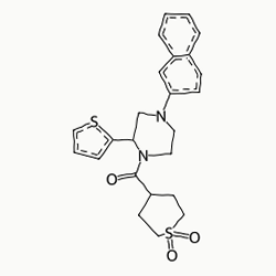 O=C(C1CCS(=O)(=O)CC1)N1CCN(c2ccc3ccccc3c2)CC1c1cccs1